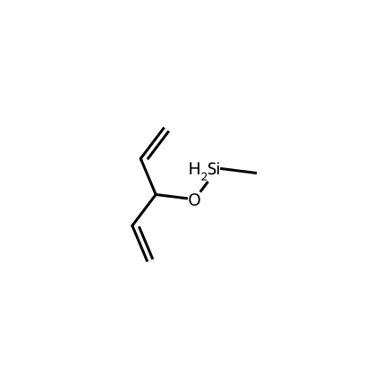 C=CC(C=C)O[SiH2]C